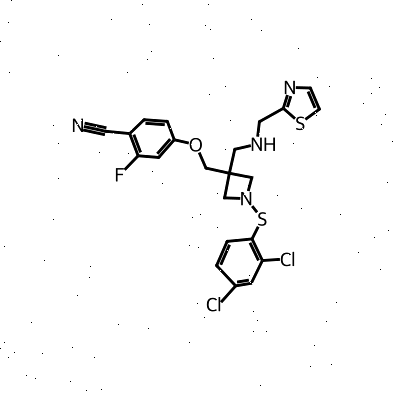 N#Cc1ccc(OCC2(CNCc3nccs3)CN(Sc3ccc(Cl)cc3Cl)C2)cc1F